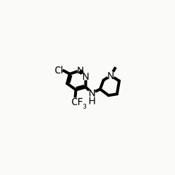 CN1CCCC(Nc2nnc(Cl)cc2C(F)(F)F)C1